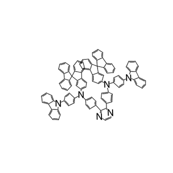 c1ccc2c(c1)-c1ccccc1C21c2ccccc2-c2ccc(N(c3ccc(-c4nccnc4-c4ccc(N(c5ccc(-n6c7ccccc7c7ccccc76)cc5)c5ccc6c(c5)C5(c7ccccc7-c7ccccc75)c5ccccc5-6)cc4)cc3)c3ccc(-n4c5ccccc5c5ccccc54)cc3)cc21